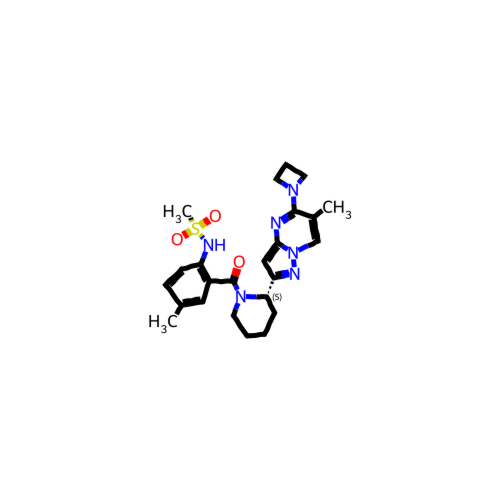 Cc1ccc(NS(C)(=O)=O)c(C(=O)N2CCCC[C@H]2c2cc3nc(N4CCC4)c(C)cn3n2)c1